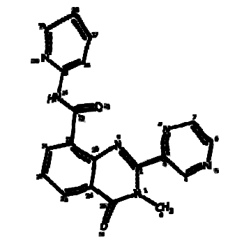 Cn1c(-c2cnccn2)nc2c(C(=O)Nc3ccccn3)cccc2c1=O